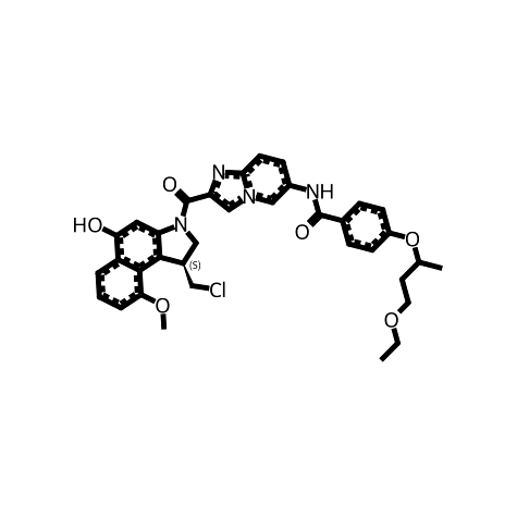 CCOCCC(C)Oc1ccc(C(=O)Nc2ccc3nc(C(=O)N4C[C@@H](CCl)c5c4cc(O)c4cccc(OC)c54)cn3c2)cc1